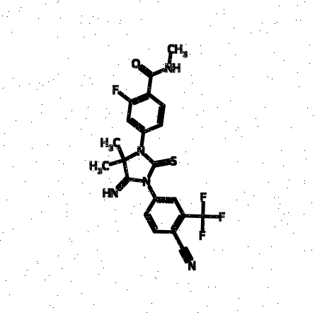 CNC(=O)c1ccc(N2C(=S)N(c3ccc(C#N)c(C(F)(F)F)c3)C(=N)C2(C)C)cc1F